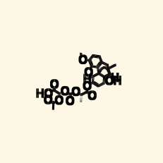 COc1ccc2c3c1O[C@H]1C(OC(=O)[C@H](C)OC(=O)O[C@H](OC(C)=O)C(=O)O)=CC[C@@]4(O)[C@@H](C2)C(C)CCC314